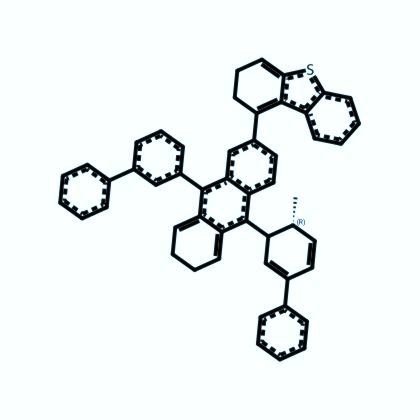 C[C@@H]1C=CC(c2ccccc2)=CC1c1c2c(c(-c3cccc(-c4ccccc4)c3)c3cc(C4=c5c(sc6ccccc56)=CCC4)ccc13)=CCCC=2